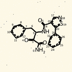 NC(=O)C(=O)C(Cc1ccccc1)NC(=O)c1cnsc1-c1ccccc1